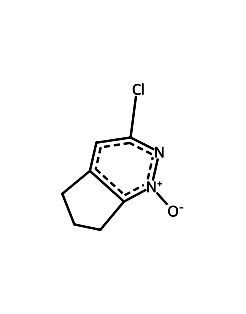 [O-][n+]1nc(Cl)cc2c1CCC2